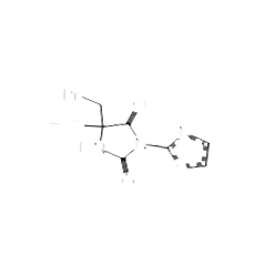 CC(C)CC1(C)NC(=O)N(c2nccs2)C1=O